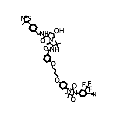 C=C(C(NC(=O)c1cccc(OCCCCOc2ccc(N3C(=O)N(c4ccc(C#N)c(C(F)(F)F)c4)C(=O)C3(C)C)cc2)c1)C(C)(C)C)N1C[C@H](O)CC1C(=O)NCc1ccc(-c2scnc2C)cc1